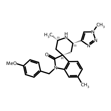 COc1ccc(CN2C(=O)[C@]3(C[C@@H](c4cn(C)nn4)N[C@@H](C)C3)c3ccc(C)cc32)cc1